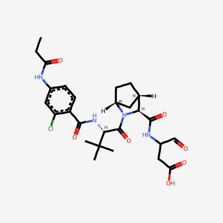 CCC(=O)Nc1ccc(C(=O)N[C@H](C(=O)N2[C@@H]3CC[C@@H](C3)[C@H]2C(=O)NC(C=O)CC(=O)O)C(C)(C)C)c(Cl)c1